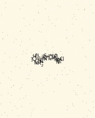 Nc1cccc(Cl)c1C1CC(c2csc(C3CCN(C(=O)Cn4cc(Cl)cn4)CC3)n2)=NO1